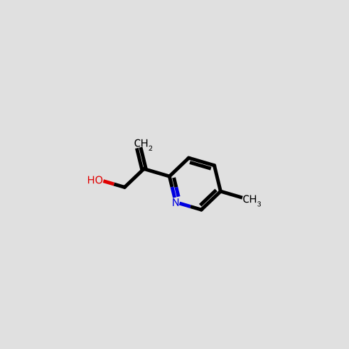 C=C(CO)c1ccc(C)cn1